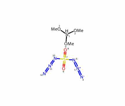 CO[SiH](OC)OC.[N-]=[N+]=NS(=O)(=O)N=[N+]=[N-]